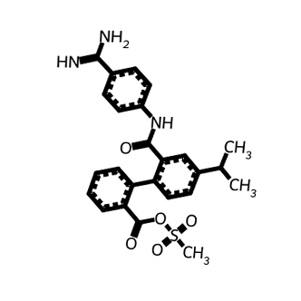 CC(C)c1ccc(-c2ccccc2C(=O)OS(C)(=O)=O)c(C(=O)Nc2ccc(C(=N)N)cc2)c1